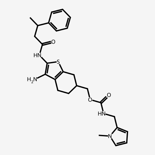 CC(CC(=O)Nc1sc2c(c1N)CCC(COC(=O)NCc1cccn1C)C2)c1ccccc1